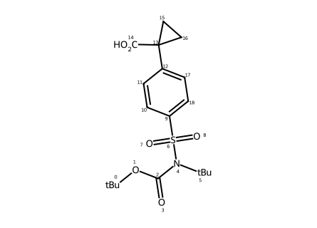 CC(C)(C)OC(=O)N(C(C)(C)C)S(=O)(=O)c1ccc(C2(C(=O)O)CC2)cc1